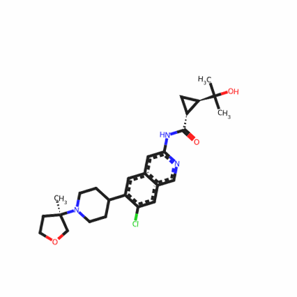 CC(C)(O)[C@@H]1C[C@H]1C(=O)Nc1cc2cc(C3CCN([C@]4(C)CCOC4)CC3)c(Cl)cc2cn1